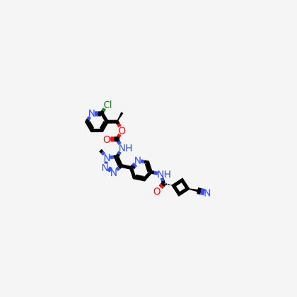 C[C@@H](OC(=O)Nc1c(-c2ccc(NC(=O)[C@H]3C[C@H](C#N)C3)cn2)nnn1C)c1cccnc1Cl